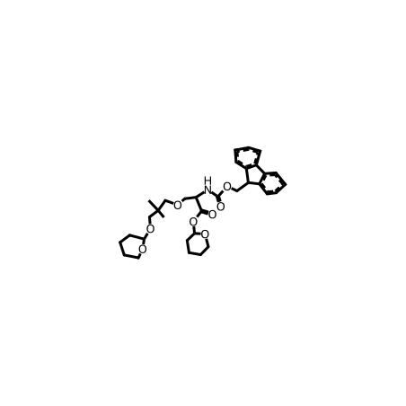 CC(C)(COCC(NC(=O)OCC1c2ccccc2-c2ccccc21)C(=O)OC1CCCCO1)COC1CCCCO1